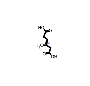 C/C(=C\CC(=O)O)CC(=O)O